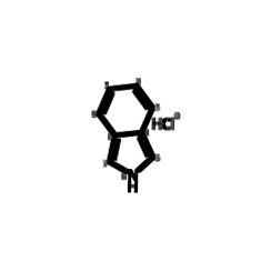 Cl.c1ccc2c[nH]cc2c1